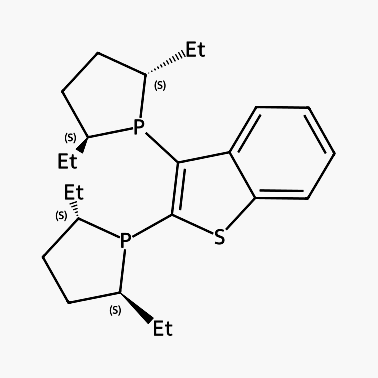 CC[C@H]1CC[C@H](CC)P1c1sc2ccccc2c1P1[C@@H](CC)CC[C@@H]1CC